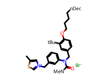 CCCCCCCCCCCCCCOc1ccc(CN(C(=O)NC)c2cccc(C[n+]3csc(C)c3)c2)cc1C(C)(C)C.[Br-]